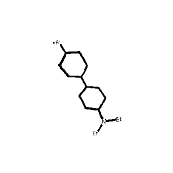 CCCC1CCC(C2CCC(N(CC)CC)CC2)CC1